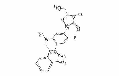 CCn1c(CO)nn(-c2cc3c(cc2F)[C@@H](O)[C@@H](c2ccccc2C)CN3C(C)C)c1=O